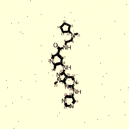 Cc1ncc(C(=O)NCCN(C)C2CCCC2)cc1Nc1nn(C)c2nc(Nc3cncnc3)ncc12